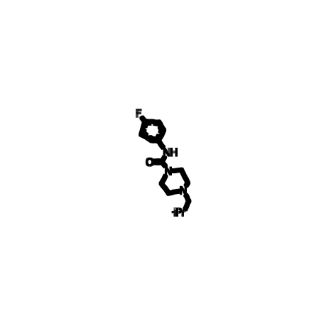 C[C](C)CN1CCN(C(=O)Nc2ccc(F)cc2)CC1